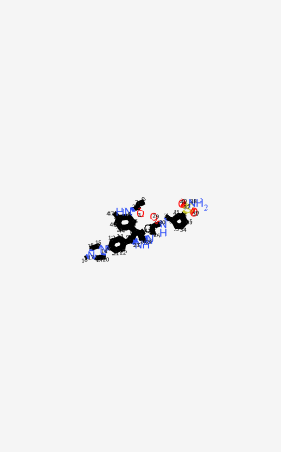 C=CC(=O)Nc1cc(-c2c(-c3ccc(N4CCN(C)CC4)cc3)[nH]c3ncc(C(=O)NCc4cccc(S(N)(=O)=O)c4)cc23)ccc1C